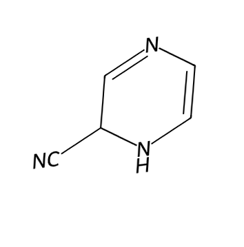 N#CC1C=NC=CN1